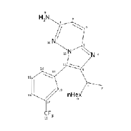 CCCCCCC(C)c1nc2ccc(N)nn2c1-c1cccc(C(F)(F)F)c1